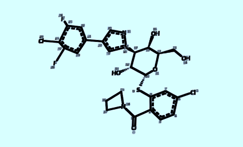 O=C(c1ccc(Cl)cc1S[C@H]1O[C@H](CO)[C@H](O)[C@H](n2cc(-c3cc(F)c(Cl)c(F)c3)cn2)[C@H]1O)N1CCC1